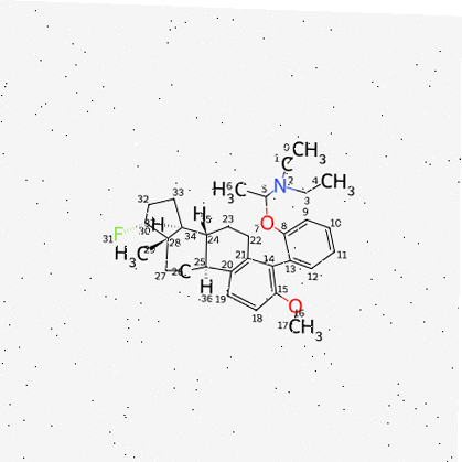 CCN(CC)C(C)Oc1ccccc1-c1c(OC)ccc2c1CC[C@@H]1[C@@H]2CC[C@]2(C)[C@H](F)CC[C@@H]12